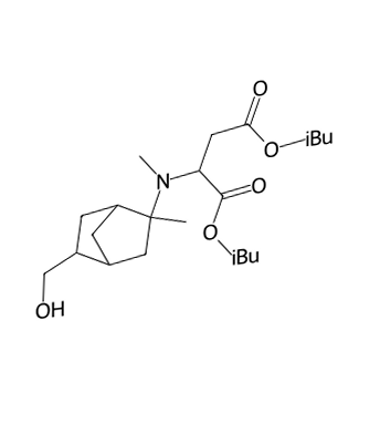 CCC(C)OC(=O)CC(C(=O)OC(C)CC)N(C)C1(C)CC2CC1CC2CO